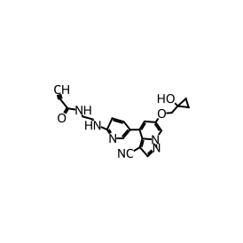 C#CC(=O)NCCNc1ccc(-c2cc(OCC3(O)CC3)cn3ncc(C#N)c23)cn1